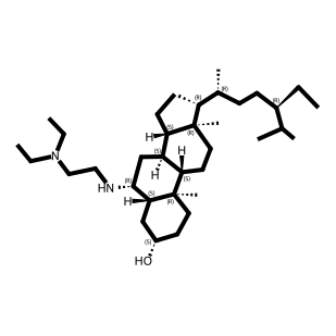 CC[C@H](CC[C@@H](C)[C@H]1CC[C@H]2[C@@H]3C[C@@H](NCCN(CC)CC)[C@H]4C[C@@H](O)CC[C@]4(C)[C@H]3CC[C@]12C)C(C)C